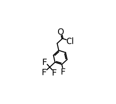 O=C(Cl)Cc1ccc(F)c(C(F)(F)F)c1